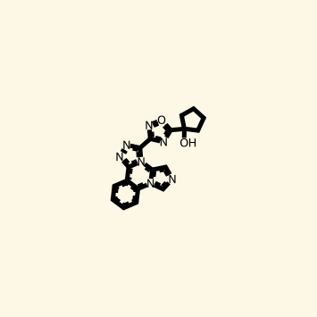 OC1(c2nc(-c3nnc4c5ccccc5n5cncc5n34)no2)CCCC1